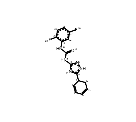 O=C(Nc1n[nH]c(C2C=CC=CC2)n1)Nc1cc(F)ccc1F